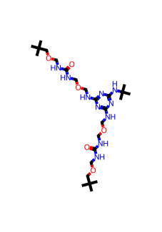 CC(C)(C)COCNC(=O)NCOCNc1nc(NCOCNC(=O)NCOCC(C)(C)C)nc(NC(C)(C)C)n1